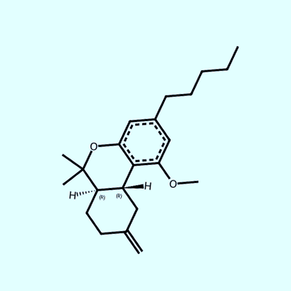 C=C1CC[C@@H]2[C@@H](C1)c1c(OC)cc(CCCCC)cc1OC2(C)C